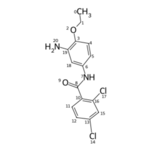 CCOc1ccc(NC(=O)c2ccc(Cl)cc2Cl)cc1N